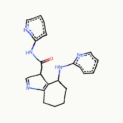 O=C(Nc1ccccn1)C1C=NC2=C1C(Nc1ccccn1)CCCC2